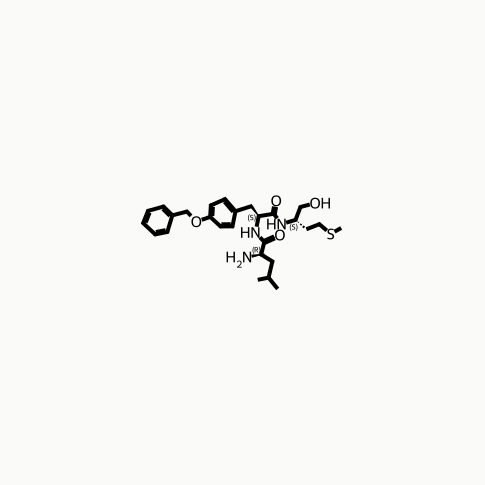 CSCC[C@@H](CO)NC(=O)[C@H](Cc1ccc(OCc2ccccc2)cc1)NC(=O)[C@H](N)CC(C)C